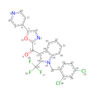 O=C(c1ncc(-c2ccncc2)o1)c1c(C(F)(F)F)n(Cc2ccc(Cl)cc2Cl)c2ccccc12